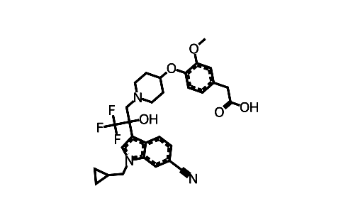 COc1cc(CC(=O)O)ccc1OC1CCN(CC(O)(c2cn(CC3CC3)c3cc(C#N)ccc23)C(F)(F)F)CC1